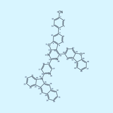 N#Cc1ccc(-c2ccc3c(c2)oc2nc(-c4ccc(-n5c6ccccc6c6cc7ccccc7cc65)nc4)nc(-c4ccc5oc6ccccc6c5c4)c23)cc1